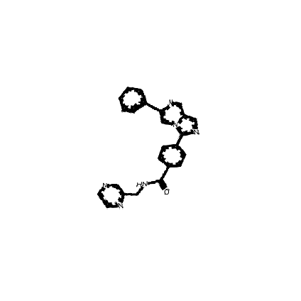 O=C(NCc1cnccn1)c1ccc(-c2ncc3cnc(-c4ccccc4)cn23)cc1